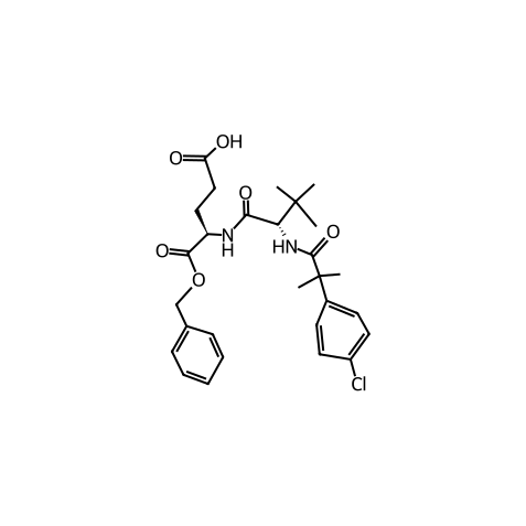 CC(C)(C(=O)N[C@H](C(=O)N[C@H](CCC(=O)O)C(=O)OCc1ccccc1)C(C)(C)C)c1ccc(Cl)cc1